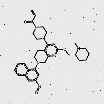 C=CC(=O)N1CCN(c2nc(OC[C@H]3CCCCN3C)nc3c2CCN(c2cc(N=O)cc4ccccc24)C3)CC1